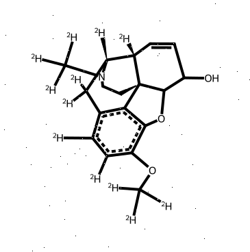 [2H]c1c([2H])c2c3c(c1OC([2H])([2H])[2H])OC1C(O)C=C[C@]4([2H])[C@@]31CCN(C([2H])([2H])[2H])[C@]4([2H])C2([2H])[2H]